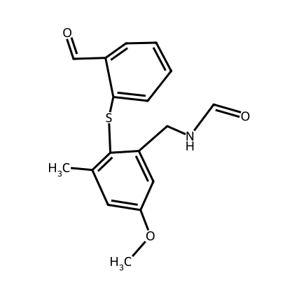 COc1cc(C)c(Sc2ccccc2C=O)c(CNC=O)c1